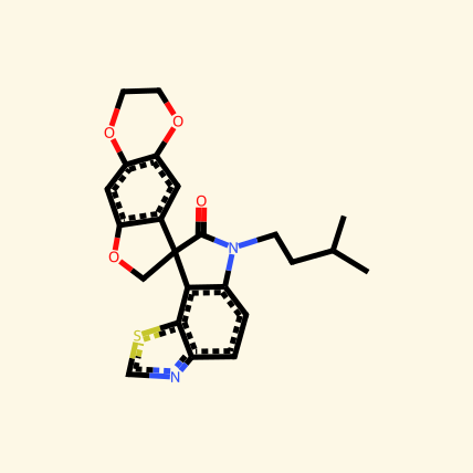 CC(C)CCN1C(=O)C2(COc3cc4c(cc32)OCCO4)c2c1ccc1ncsc21